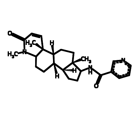 CN1C(=O)C=C[C@@]2(C)C1CC[C@@H]1[C@H]2CC[C@]2(C)C(NC(=O)c3cccnc3)CC[C@@H]12